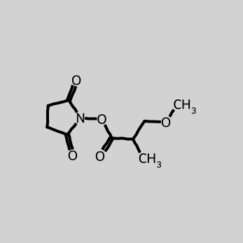 COCC(C)C(=O)ON1C(=O)CCC1=O